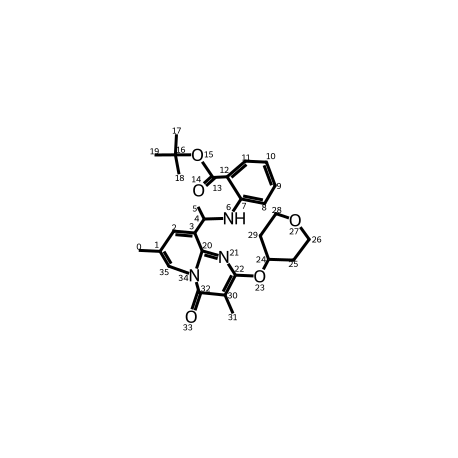 Cc1cc(C(C)Nc2ccccc2C(=O)OC(C)(C)C)c2nc(OC3CCOCC3)c(C)c(=O)n2c1